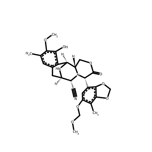 COCOc1cc([C@H]2C(=O)OC[C@H]3[C@H]4N[C@H](Cc5cc(C)c(OC)c(O)c54)[C@@H](C#N)N23)c2c(c1C)OCO2